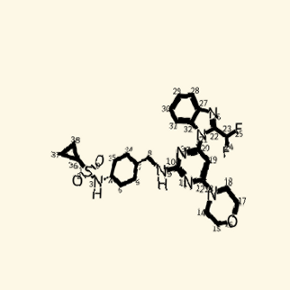 O=S(=O)(N[C@H]1CC[C@H](CNc2nc(N3CCOCC3)cc(-n3c(C(F)F)nc4ccccc43)n2)CC1)C1CC1